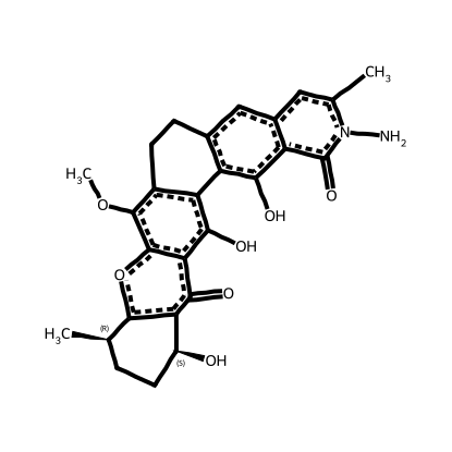 COc1c2c(c(O)c3c(=O)c4c(oc13)[C@H](C)CC[C@@H]4O)-c1c(cc3cc(C)n(N)c(=O)c3c1O)CC2